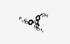 Cn1cc2c3cc(CO)ccc3n(-c3ccc(OC(F)(F)F)cc3)c2n1